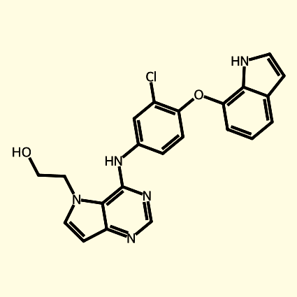 OCCn1ccc2ncnc(Nc3ccc(Oc4cccc5cc[nH]c45)c(Cl)c3)c21